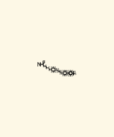 N#C/C(F)=C/C=C/CC[C@H]1CC[C@H](CCCC[C@H]2CC[C@H](c3ccc(F)cc3)CC2)CC1